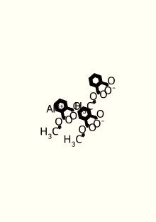 CCOC(=O)c1ccccc1C(=O)[O-].CCOC(=O)c1ccccc1C(=O)[O-].CCOC(=O)c1ccccc1C(=O)[O-].[Al+3]